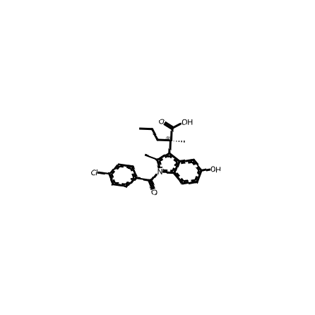 CCC[C@@](C)(C(=O)O)c1c(C)n(C(=O)c2ccc(Cl)cc2)c2ccc(O)cc12